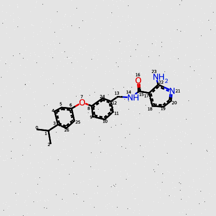 CC(C)c1ccc(Oc2cccc(CNC(=O)c3cccnc3N)c2)cc1